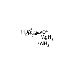 O=[SiH2].[AlH3].[CaH2].[MgH2]